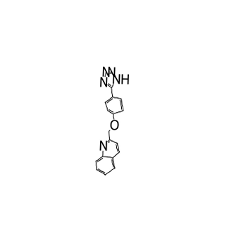 c1ccc2nc(COc3ccc(-c4nnn[nH]4)cc3)ccc2c1